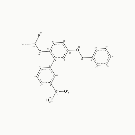 C[S+]([O-])c1cccc(-c2cc(OCc3ccccc3)ccc2OC(F)F)c1